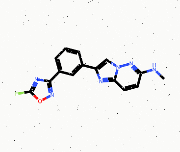 CNc1ccc2nc(-c3cccc(-c4noc(F)n4)c3)cn2n1